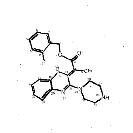 N#CC(C(=O)OCc1ccccc1F)=C1Nc2ccccc2N=C1N1CCNCC1